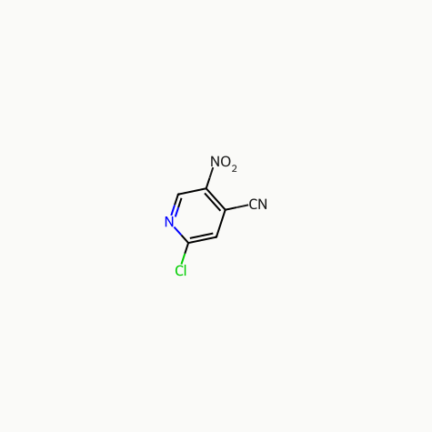 N#Cc1cc(Cl)ncc1[N+](=O)[O-]